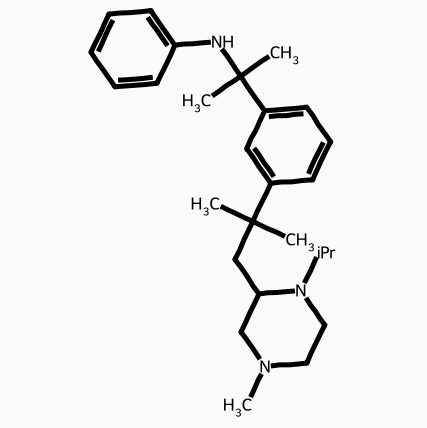 CC(C)N1CCN(C)CC1CC(C)(C)c1cccc(C(C)(C)Nc2ccccc2)c1